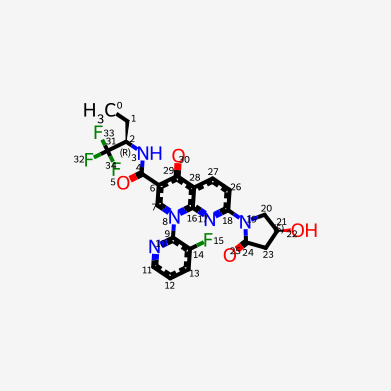 CC[C@@H](NC(=O)c1cn(-c2ncccc2F)c2nc(N3C[C@@H](O)CC3=O)ccc2c1=O)C(F)(F)F